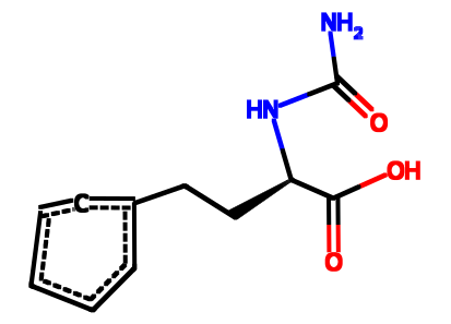 NC(=O)N[C@H](CCc1ccccc1)C(=O)O